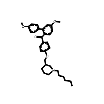 CCCCCCN1CCCC(COc2ccc(C(=O)c3ccc(OC)cc3-c3ccc(OC)cc3)cc2)C1